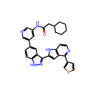 O=C(CC1CCCCC1)Nc1cncc(-c2ccc3[nH]nc(-c4cc5c(-c6ccsc6)nccc5[nH]4)c3c2)c1